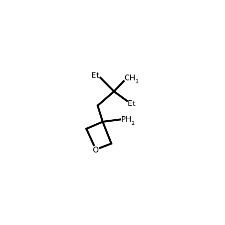 CCC(C)(CC)CC1(P)COC1